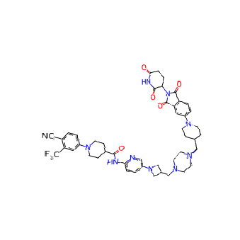 N#Cc1ccc(N2CCC(C(=O)Nc3ccc(N4CC(CN5CCN(CC6CCN(c7ccc8c(c7)C(=O)N(C7CCC(=O)NC7=O)C8=O)CC6)CC5)C4)cn3)CC2)cc1C(F)(F)F